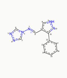 C(=N\n1cnnc1)/c1c[nH]nc1-c1ccccc1